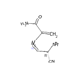 C=C(/N=C\[C@@H](C#N)CCC)C(N)=O